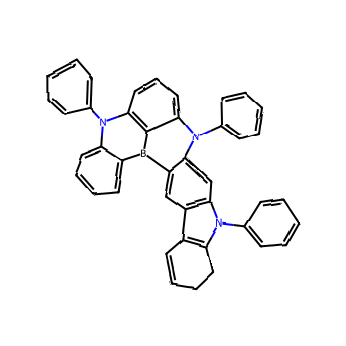 C1=Cc2c(n(-c3ccccc3)c3cc4c(cc23)B2c3ccccc3N(c3ccccc3)c3cccc(c32)N4c2ccccc2)CC1